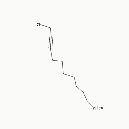 CCCCCCCCCCCCCC#CCCl